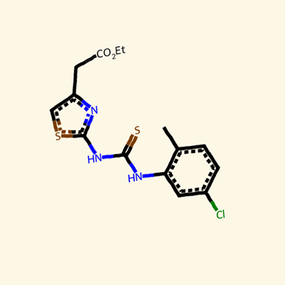 CCOC(=O)Cc1csc(NC(=S)Nc2cc(Cl)ccc2C)n1